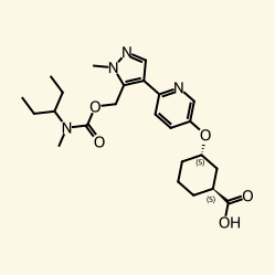 CCC(CC)N(C)C(=O)OCc1c(-c2ccc(O[C@H]3CCC[C@H](C(=O)O)C3)cn2)cnn1C